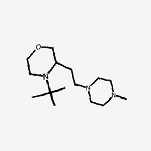 CN1CCN(CCC2COCCN2C(C)(C)C)CC1